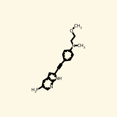 COCCN(C)c1ccc(C#Cc2cc3cc(P)cnc3[nH]2)cc1